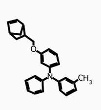 Cc1cccc(N(c2ccccc2)c2cccc(OCC3CC4C=CC3C4)c2)c1